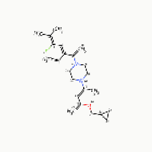 C=C/C(=C\C(F)=C(C)C)C(=C)N1CCN(/C(C)=C/C(=C)OCC2CC2)CC1